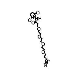 [N-]=[N+]=NCCOCCOCCOCCOCCC(=O)NN1C(=O)CCC1=O